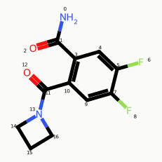 NC(=O)c1cc(F)c(F)cc1C(=O)N1CCC1